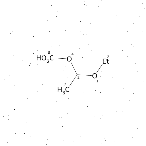 CCOC(C)OC(=O)O